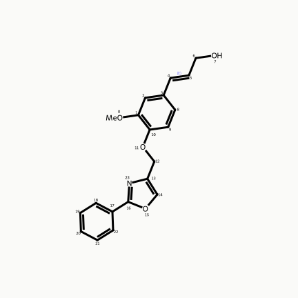 COc1cc(/C=C/CO)ccc1OCc1coc(-c2ccccc2)n1